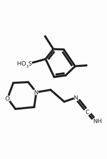 Cc1ccc(S(=O)(=O)O)c(C)c1.N=C=NCCN1CCOCC1